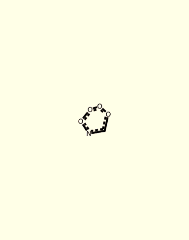 c1noooo1